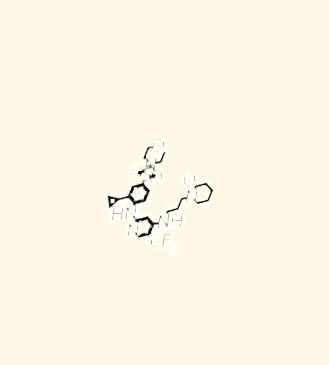 O=C1CCCCN1CCCNc1cc(Nc2ccc(S(=O)(=O)N3CCOCC3)cc2C2CC2)ncc1C(F)(F)F